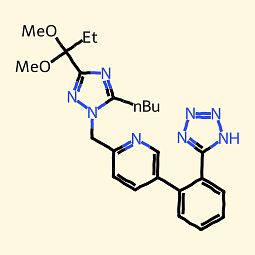 CCCCc1nc(C(CC)(OC)OC)nn1Cc1ccc(-c2ccccc2-c2nnn[nH]2)cn1